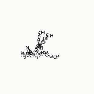 C#CCOCCOCCNC(=O)CCC(CCC(=O)NCCOCCOCC#C)(CCC(=O)NCCOCCOCC#C)NC(=O)[C@H]1CC[C@H](OP(OCCC#N)N(C(C)C)C(C)C)CC1